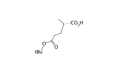 C[C@@H](CCC(=O)OC(C)(C)C)C(=O)O